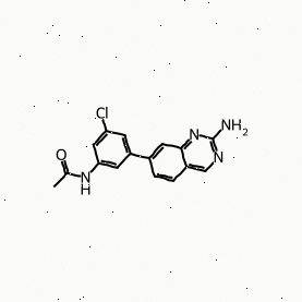 CC(=O)Nc1cc(Cl)cc(-c2ccc3cnc(N)nc3c2)c1